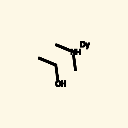 CCO.CNC.[Dy]